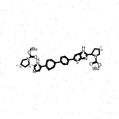 C[C@H]1CC(c2nc3sc(-c4ccc(-c5ccc(-c6cnc([C@@H]7C[C@H](C)CN7C(=O)OC(C)(C)C)[nH]6)cc5)cc4)cc3[nH]2)N(C(=O)OC(C)(C)C)C1